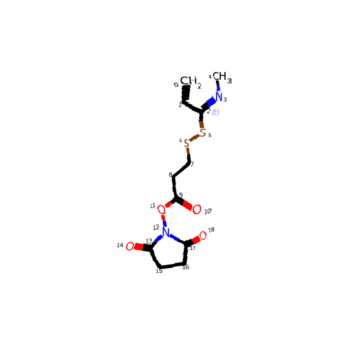 C=C/C(=N\C)SSCCC(=O)ON1C(=O)CCC1=O